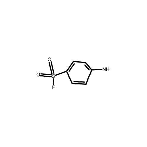 [NH]c1ccc(S(=O)(=O)F)cc1